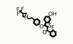 O=C(c1ccccc1F)c1sc2cc(O)ccc2c1Oc1ccc(CCN2CC(C(F)(F)F)C2)cc1